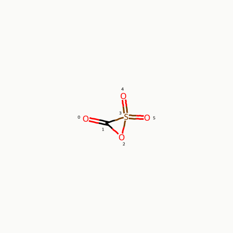 O=C1OS1(=O)=O